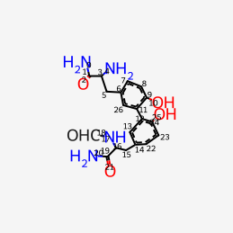 NC(=O)C(N)Cc1ccc(O)c(-c2cc(CC(NC=O)C(N)=O)ccc2O)c1